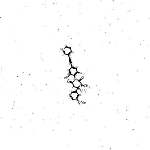 COc1cccc(C2(C)CC(=O)N(c3c(F)cc(C#Cc4cccnc4)cc3F)C(=O)N2C)c1